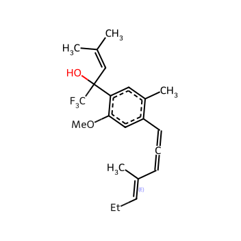 CC/C=C(\C)C=C=Cc1cc(OC)c(C(O)(C=C(C)C)C(F)(F)F)cc1C